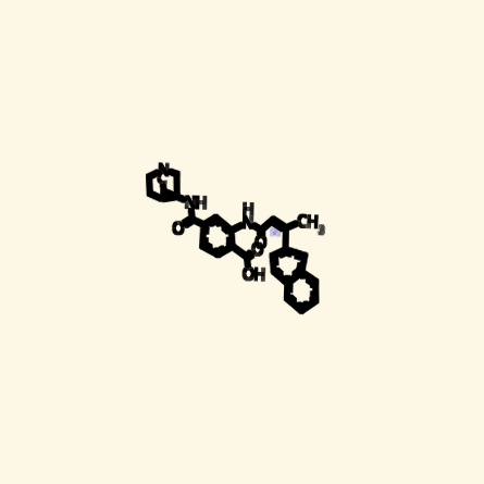 C/C(=C/C(=O)Nc1cc(C(=O)NC2CN3CCC2CC3)ccc1C(=O)O)c1ccc2ccccc2c1